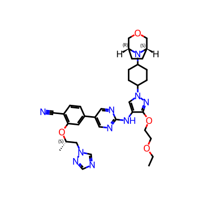 CCOCCOc1nn(C2CCC(N3[C@@H]4CC[C@H]3COC4)CC2)cc1Nc1ncc(-c2ccc(C#N)c(O[C@@H](C)Cn3cncn3)c2)cn1